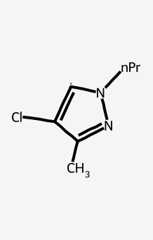 CCCn1[c]c(Cl)c(C)n1